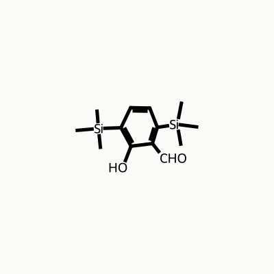 C[Si](C)(C)c1ccc([Si](C)(C)C)c(C=O)c1O